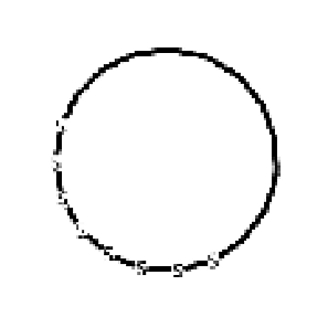 C1CCCCCSSSSSSSSCCCCC1